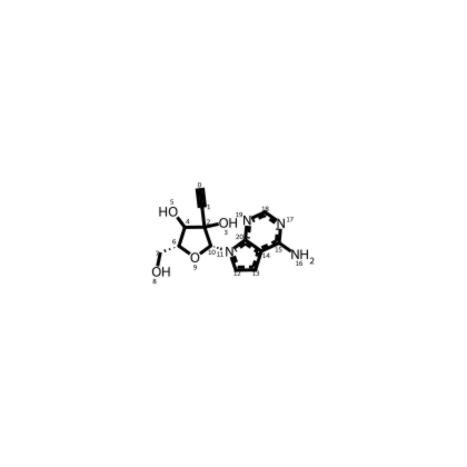 C#CC1(O)C(O)[C@@H](CO)O[C@H]1n1ccc2c(N)ncnc21